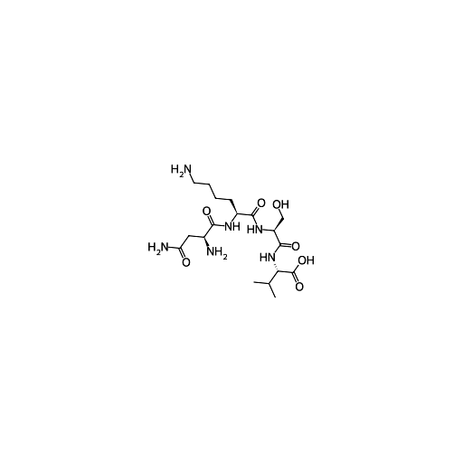 CC(C)[C@H](NC(=O)[C@H](CO)NC(=O)[C@H](CCCCN)NC(=O)[C@@H](N)CC(N)=O)C(=O)O